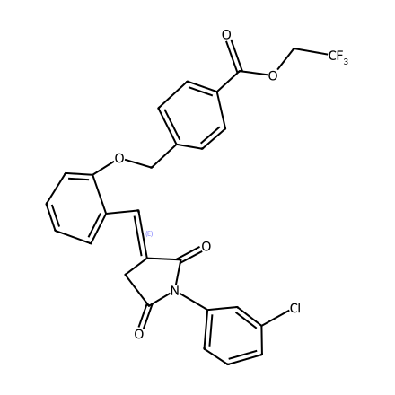 O=C(OCC(F)(F)F)c1ccc(COc2ccccc2/C=C2\CC(=O)N(c3cccc(Cl)c3)C2=O)cc1